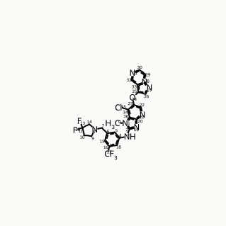 Cn1c(Nc2cc(CN3CCC(F)(F)C3)cc(C(F)(F)F)c2)nc2ncc(Oc3cnn4ccncc34)c(Cl)c21